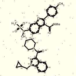 CNC(=O)c1c(-c2ccc(C)cc2)oc2cc(N(C)S(C)(=O)=O)c([C@H]3CCCN(C(=O)c4nn(CC5CC5)c5ccccc45)C3)cc12